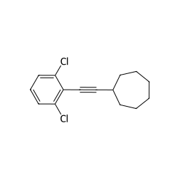 Clc1cccc(Cl)c1C#CC1CCCCCC1